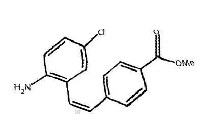 COC(=O)c1ccc(/C=C\c2cc(Cl)ccc2N)cc1